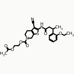 CCOc1ccccc1C(C)CC(=O)Nc1sc2c(c1C#N)CCN(C(=O)OCCOC(C)=O)C2